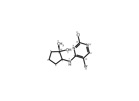 C[C@]1(O)CCCC1Nc1nc(Cl)ncc1Br